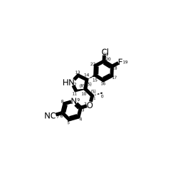 C[C@H](Oc1ccc(C#N)cn1)[C@H]1CNC[C@@H]1c1ccc(F)c(Cl)c1